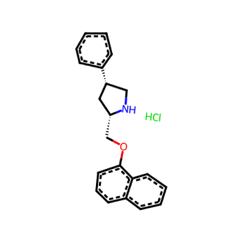 Cl.c1ccc([C@@H]2CN[C@H](COc3cccc4ccccc34)C2)cc1